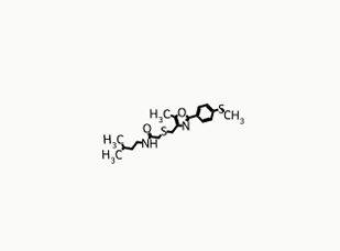 CSc1ccc(-c2nc(CSCC(=O)NCCC(C)C)c(C)o2)cc1